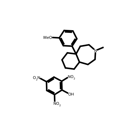 COc1cccc(C23CCCCC2CCN(C)CC3)c1.O=[N+]([O-])c1cc([N+](=O)[O-])c(O)c([N+](=O)[O-])c1